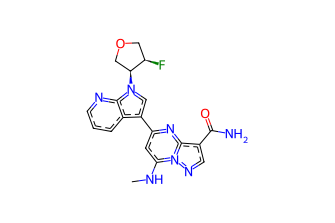 CNc1cc(-c2cn([C@H]3COC[C@H]3F)c3ncccc23)nc2c(C(N)=O)cnn12